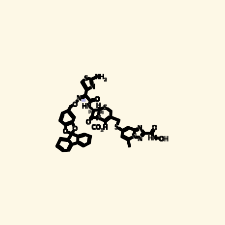 Cc1cc(SCC2=C(C(=O)O)N3C(=O)[C@@H](NC(=O)/C(=N\OCc4ccc5c(c4)OC4(O5)c5ccccc5-c5ccccc54)c4csc(N)n4)[C@H]3SC2)cc2nc(C(=O)NO)nn12